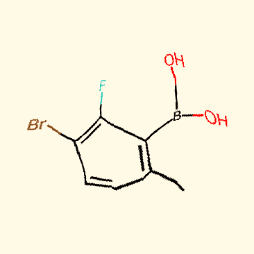 Cc1ccc(Br)c(F)c1B(O)O